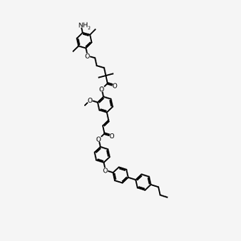 CCCc1ccc(-c2ccc(Oc3ccc(OC(=O)C=Cc4ccc(OC(=O)C(C)(C)CCCOc5cc(C)c(N)cc5C)c(OC)c4)cc3)cc2)cc1